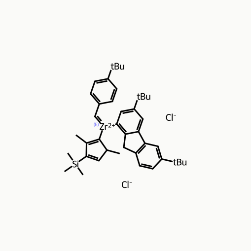 CC1=[C](/[Zr+2](=[CH]/c2ccc(C(C)(C)C)cc2)[c]2cc(C(C)(C)C)cc3c2Cc2ccc(C(C)(C)C)cc2-3)C(C)C=C1[Si](C)(C)C.[Cl-].[Cl-]